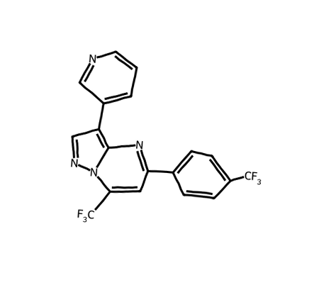 FC(F)(F)c1ccc(-c2cc(C(F)(F)F)n3ncc(-c4cccnc4)c3n2)cc1